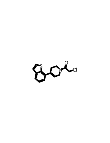 O=C(CCl)N1CC=C(c2cccc3ccsc23)CC1